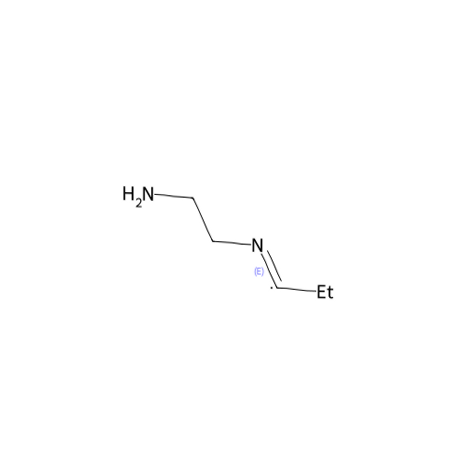 CC/[C]=N/CCN